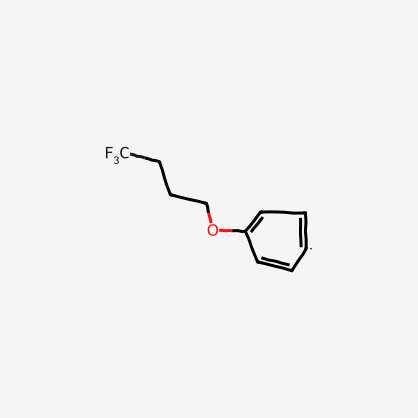 FC(F)(F)CCCOc1cc[c]cc1